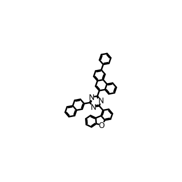 c1ccc(-c2ccc3cc(-c4nc(-c5ccc6ccccc6c5)nc(-c5cccc6oc7ccccc7c56)n4)c4ccccc4c3c2)cc1